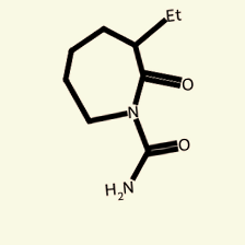 CCC1CCCCN(C(N)=O)C1=O